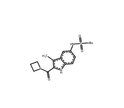 CCCCS(=O)(=O)Nc1ccc2[nH]c(C(=O)N3CCC3)c(C)c2c1